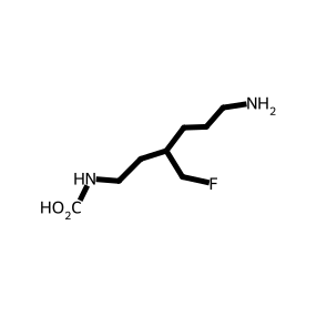 NCCCC(CF)CCNC(=O)O